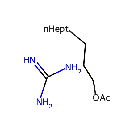 CCCCCCCCCCOC(C)=O.N=C(N)N